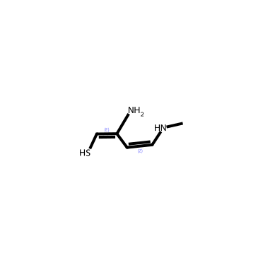 CN/C=C\C(N)=C/S